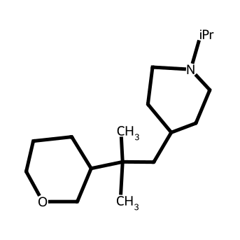 CC(C)N1CCC(CC(C)(C)C2CCCOC2)CC1